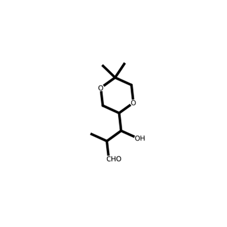 CC(C=O)C(O)C1COC(C)(C)CO1